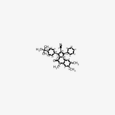 Cc1cc2c(cc1C)n1c(-c3ccccc3)c(C#N)c(-c3ccc(C(C)(C)C)cc3)c1c(=O)n2C